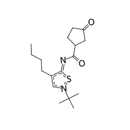 CCCCc1cn(C(C)(C)C)sc1=NC(=O)C1CCC(=O)C1